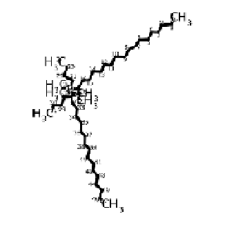 CCCCCCCCCCCCCCCCCCP(C)(C)(CCCC)P(C)(C)(CCCC)CCCCCCCCCCCCCCCC